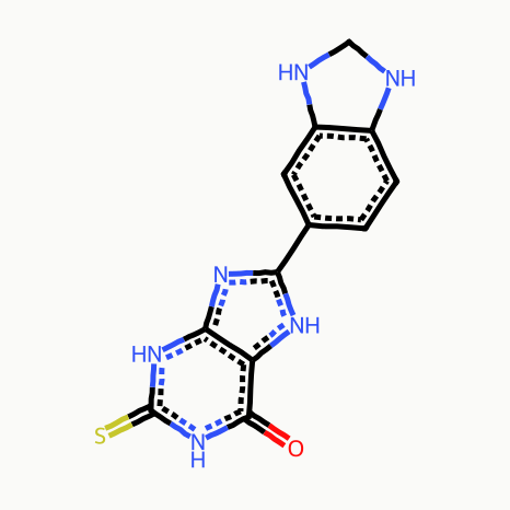 O=c1[nH]c(=S)[nH]c2nc(-c3ccc4c(c3)NCN4)[nH]c12